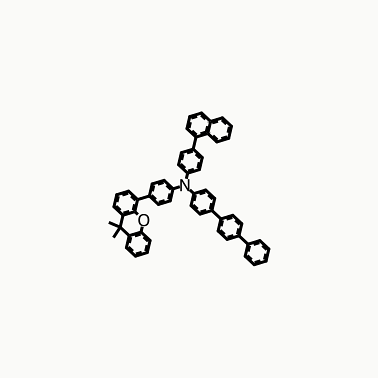 CC1(C)c2ccccc2Oc2c(-c3ccc(N(c4ccc(-c5ccc(-c6ccccc6)cc5)cc4)c4ccc(-c5cccc6ccccc56)cc4)cc3)cccc21